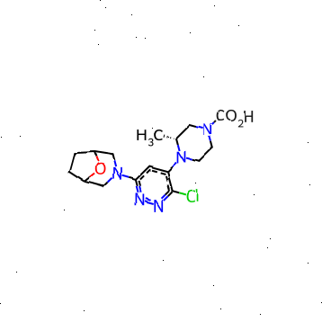 C[C@@H]1CN(C(=O)O)CCN1c1cc(N2CC3CCC(C2)O3)nnc1Cl